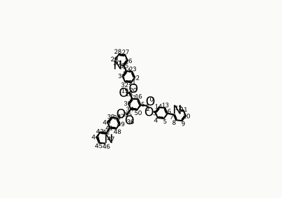 O=C(Oc1ccc(-c2ccccn2)cc1)c1cc(C(=O)Oc2ccc(-c3ccccn3)cc2)cc(C(=O)Oc2ccc(-c3ccccn3)cc2)c1